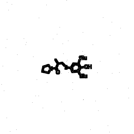 CC(CSc1cc(C(C)(C)C)c(O)c(C(C)(C)C)c1)C(=O)N1CCCC1